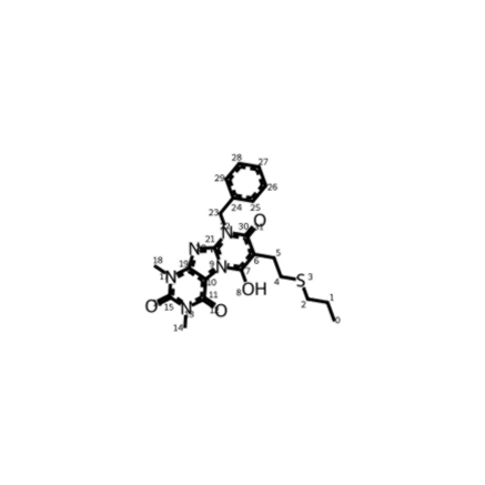 CCCSCCc1c(O)n2c3c(=O)n(C)c(=O)n(C)c3nc2n(Cc2ccccc2)c1=O